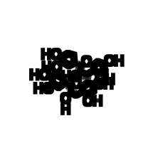 Oc1cc(O)c2c(c1)O[C@@H](c1ccc(O)c(O)c1)[C@@H](O)[C@H]2c1c(O)cc(O)c2c1O[C@H](c1ccc(O)c(O)c1)[C@H](O)C2